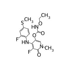 CCONC(=O)Oc1cn(C)c(=O)c(F)c1Nc1ccc(SC)cc1F